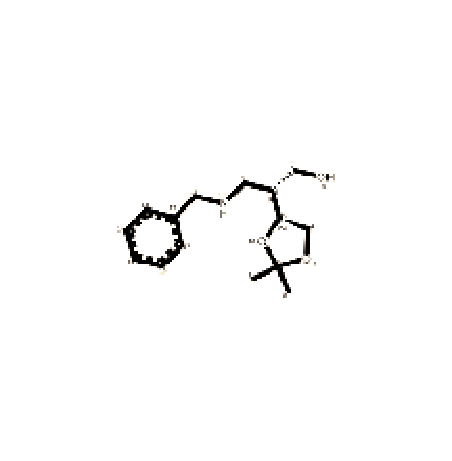 CC1(C)OC[C@H]([C@@H](CO)CNCc2ccccc2)O1